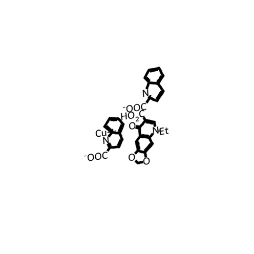 CCn1cc(C(=O)O)c(=O)c2cc3c(cc21)OCO3.O=C([O-])c1ccc2ccccc2n1.O=C([O-])c1ccc2ccccc2n1.[Cu+2]